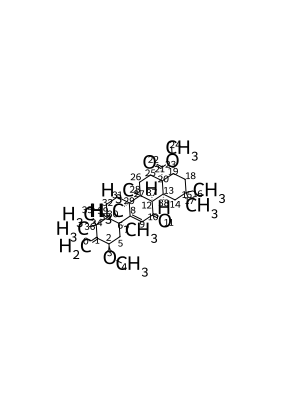 C=C1[C@H](OC)C[C@]2(C)C3=CC(=O)[C@@H]4[C@@H]5CC(C)(C)CC[C@]5(C(=O)OC)CC[C@@]4(C)[C@]3(C)CC[C@H]2C1(C)C